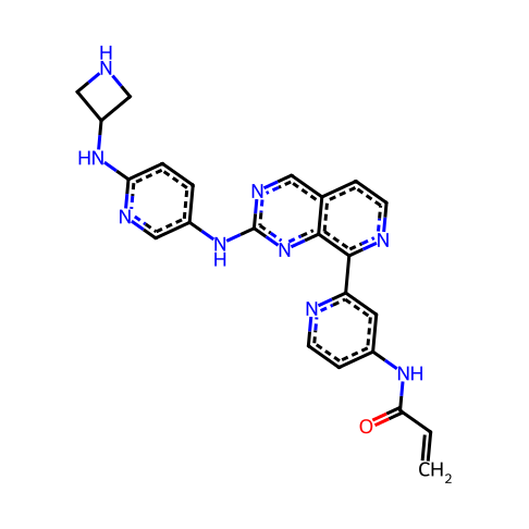 C=CC(=O)Nc1ccnc(-c2nccc3cnc(Nc4ccc(NC5CNC5)nc4)nc23)c1